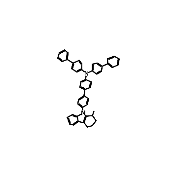 CC1CCCc2c1n(-c1ccc(-c3ccc(N(c4ccc(-c5ccccc5)cc4)c4ccc(-c5ccccc5)cc4)cc3)cc1)c1ccccc21